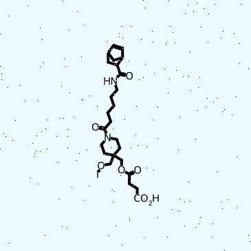 O=C(O)CCC(=O)OCC1(COI)CCN(C(=O)CCCCCNC(=O)C2CC3C=CC2C3)CC1